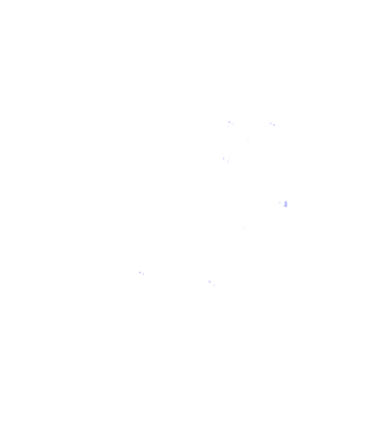 Cc1nc2c(C3Cc4cc(CN5CCC(N6CCCC6)CC5)ccc4N3)ccnc2[nH]1